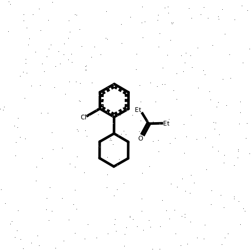 CCC(=O)CC.Clc1ccccc1C1CCCCC1